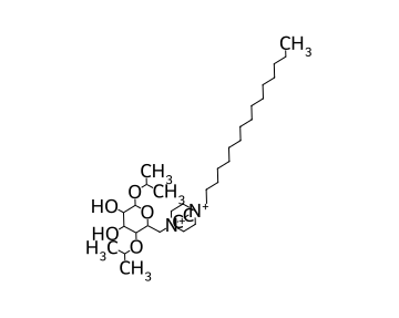 CCCCCCCCCCCCCCCC[N+]12CC[N+](CC3OC(OC(C)C)C(O)C(O)C3OC(C)C)(CC1)CC2